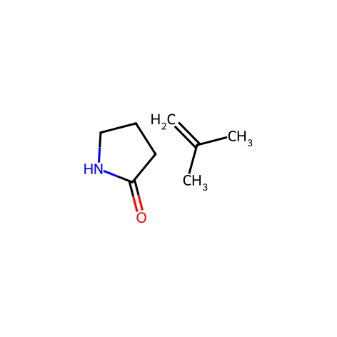 C=C(C)C.O=C1CCCN1